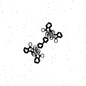 O=C1c2ccccc2C(=O)N1OP(=O)(ON1C(=O)c2ccccc2C1=O)c1ccc(-c2ccc(P(=O)(ON3C(=O)c4ccccc4C3=O)ON3C(=O)c4ccccc4C3=O)cc2)cc1